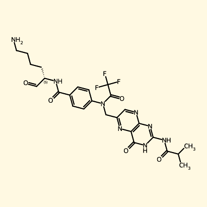 CC(C)C(=O)Nc1nc2ncc(CN(C(=O)C(F)(F)F)c3ccc(C(=O)N[C@H](C=O)CCCCN)cc3)nc2c(=O)[nH]1